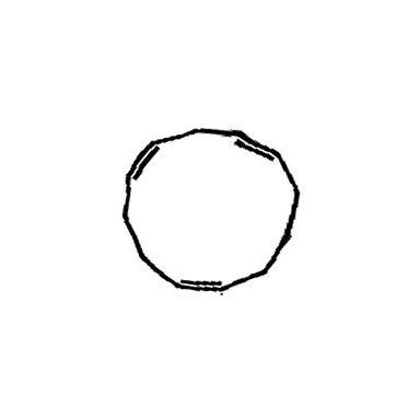 [C]1=C\CC/C=C\C/C=C\CCC/1